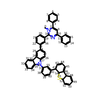 CN1C(c2ccccc2)=CC(c2ccccc2)=NC1c1cccc(-c2ccc3c(c2)c2ccccc2n3-c2cccc(C3C=CC=C4C5C=CC=CC5SC43)c2)c1